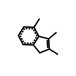 CC1=C(C)c2c(C)cccc2[CH]1